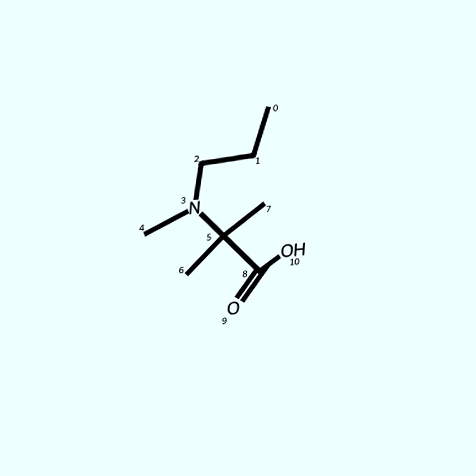 CCCN(C)C(C)(C)C(=O)O